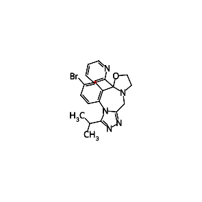 CC(C)c1nnc2n1-c1ccc(Br)cc1C1(c3ccccn3)OCCN1C2